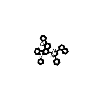 c1ccc(-c2cc(-c3cccc4ccccc34)nc(-c3cc4c(c5ccccc5n4-c4ccccc4)c4c3ccc3c5ccccc5oc34)n2)cc1